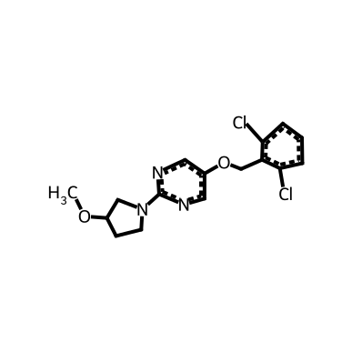 COC1CCN(c2ncc(OCc3c(Cl)cccc3Cl)cn2)C1